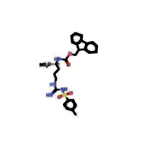 Cc1ccc(S(=O)(=O)NC(=N)NCCC[C@@H](NC(=O)OCC2c3ccccc3-c3ccccc32)C(=O)O)cc1